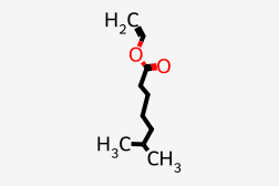 C=COC(=O)CCCCC(C)C